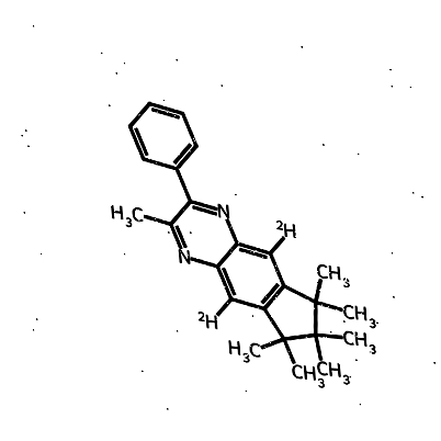 [2H]c1c2c(c([2H])c3nc(-c4ccccc4)c(C)nc13)C(C)(C)C(C)(C)C2(C)C